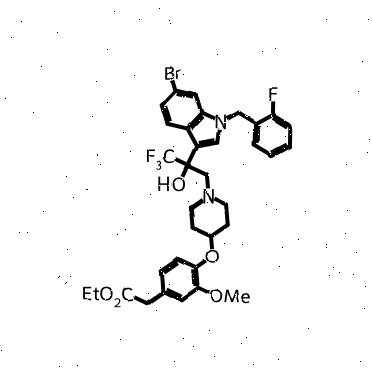 CCOC(=O)Cc1ccc(OC2CCN(CC(O)(c3cn(Cc4ccccc4F)c4cc(Br)ccc34)C(F)(F)F)CC2)c(OC)c1